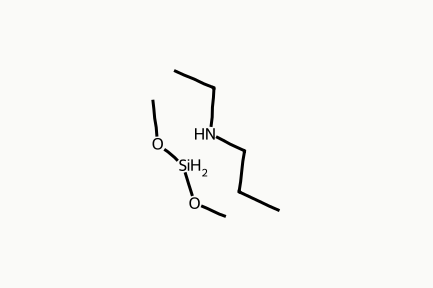 CCCNCC.CO[SiH2]OC